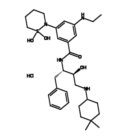 CCNc1cc(C(=O)N[C@@H](Cc2ccccc2)[C@@H](O)CNC2CCC(C)(C)CC2)cc(N2CCCCS2(O)O)c1.Cl